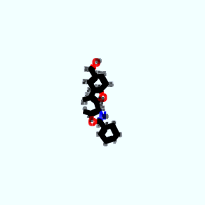 Cc1oc(-c2ccccc2)nc1-c1oc2ccc(C=O)cc2c1C